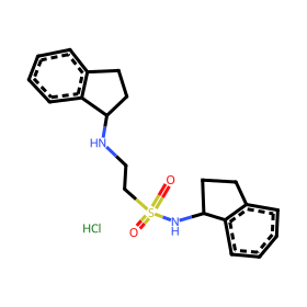 Cl.O=S(=O)(CCNC1CCc2ccccc21)NC1CCc2ccccc21